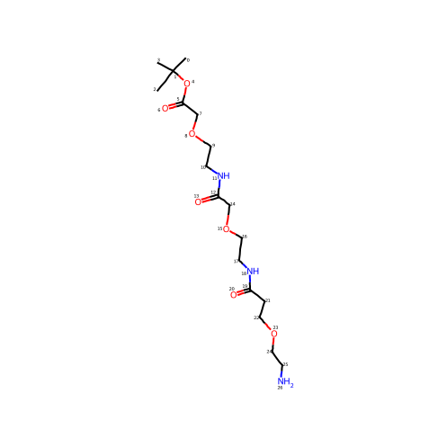 CC(C)(C)OC(=O)COCCNC(=O)COCCNC(=O)CCOCCN